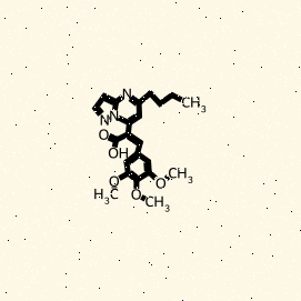 CCCCc1cc(/C(=C/c2cc(OC)c(OC)c(OC)c2)C(=O)O)n2nccc2n1